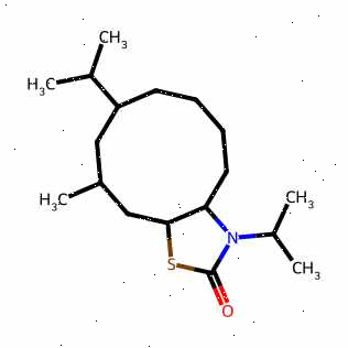 CC1CC(C(C)C)CCCCC2C(C1)SC(=O)N2C(C)C